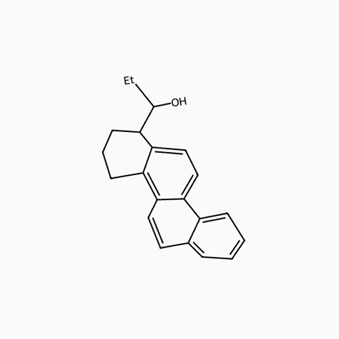 CCC(O)C1CCCc2c1ccc1c2ccc2ccccc21